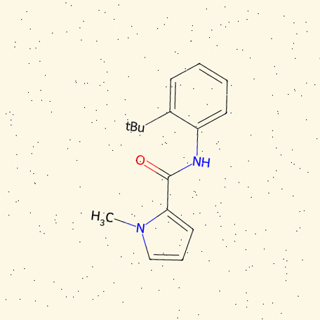 Cn1cccc1C(=O)Nc1ccccc1C(C)(C)C